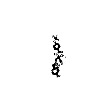 C[C@@](C#N)(Cn1cc2ncc(Br)cc2n1)NC(=O)c1ccc(OC(F)(F)F)cc1